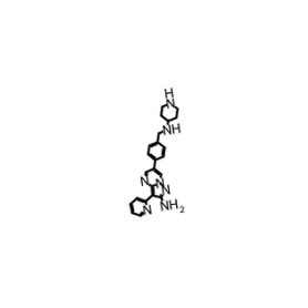 Nc1nn2cc(-c3ccc(CNC4CCNCC4)cc3)cnc2c1-c1ccccn1